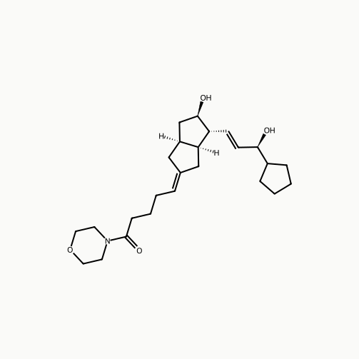 O=C(CCCC=C1C[C@H]2C[C@@H](O)[C@H](C=C[C@@H](O)C3CCCC3)[C@H]2C1)N1CCOCC1